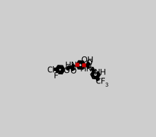 O=C(COc1ccc(Cl)c(F)c1)NC12CCC(C(=O)NCC3CCC(C(F)(F)F)CN3)(CC1)C(O)C2